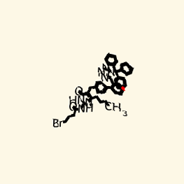 CCCCc1nc(NC(=O)CCCBr)[nH]c(=O)c1Cc1ccc(-c2ccccc2-c2nnnn2C(c2ccccc2)(c2ccccc2)c2ccccc2)cc1